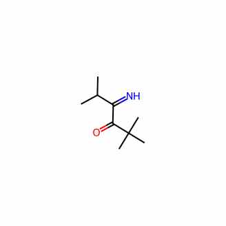 CC(C)C(=N)C(=O)C(C)(C)C